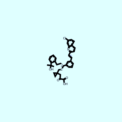 CC(C)(O)c1ccccc1CC[C@@H](SCC1(CC(=O)C(=O)O)CC1)c1cccc(/C=C/c2ccc3ccc(Cl)cc3n2)c1